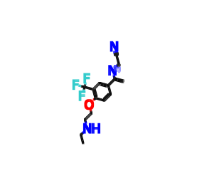 C=C(/N=C/C#N)c1ccc(OCCNCC)c(C(F)(F)F)c1